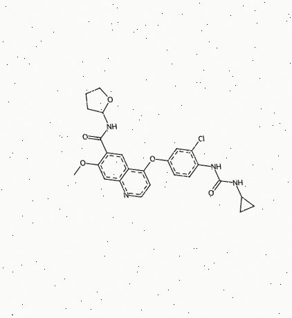 COc1cc2nccc(Oc3ccc(NC(=O)NC4CC4)c(Cl)c3)c2cc1C(=O)NC1CCCO1